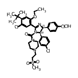 CCOc1cc(C(C)(C)C)c(Cl)cc1C1=N[C@@H](c2ccc(Cl)cc2)[C@@H](c2ccc(Cl)cc2)N1C(=O)N1CCN(CCS(C)(=O)=O)CC1.Cl